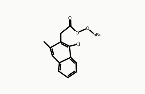 CCCCOOC(=O)Cc1c(C)cc2ccccc2c1Cl